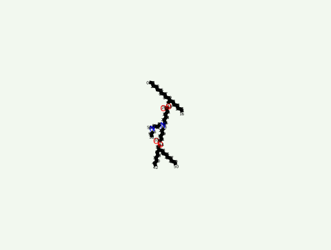 CCCCCCCCCCC(CCCCCC)COC(=O)CCCCCN(CCCCCC(=O)OCC(CCCCCC)CCCCCCCC)CCCN(C)CCC